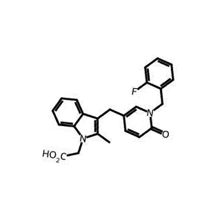 Cc1c(Cc2ccc(=O)n(Cc3ccccc3F)c2)c2ccccc2n1CC(=O)O